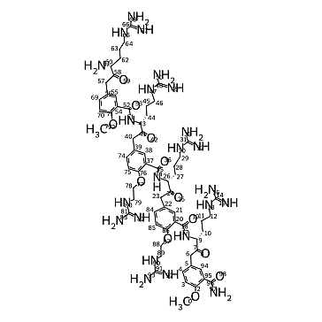 COc1ccc(CC(=O)[C@@H](CCCNC(=N)N)NC(=O)c2cc(CC(=O)[C@@H](CCCNC(=N)N)NC(=O)c3cc(CC(=O)[C@@H](CCCNC(=N)N)NC(=O)c4cc(CC(=O)[C@H](N)CCCNC(=N)N)ccc4OC)ccc3OCCNC(=N)N)ccc2OCCNC(=N)N)cc1C(N)=O